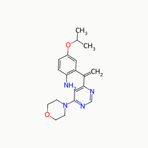 C=C(c1cc(N2CCOCC2)ncn1)c1cc(OC(C)C)ccc1N